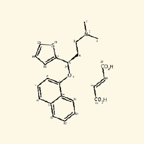 CN(C)CC[C@@H](Oc1cccc2ccccc12)c1cccs1.O=C(O)C=CC(=O)O